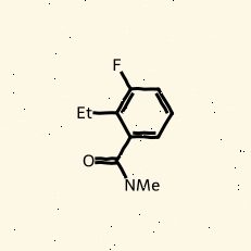 CCc1c(F)cccc1C(=O)NC